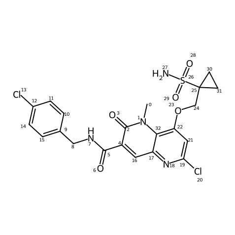 Cn1c(=O)c(C(=O)NCc2ccc(Cl)cc2)cc2nc(Cl)cc(OCC3(S(N)(=O)=O)CC3)c21